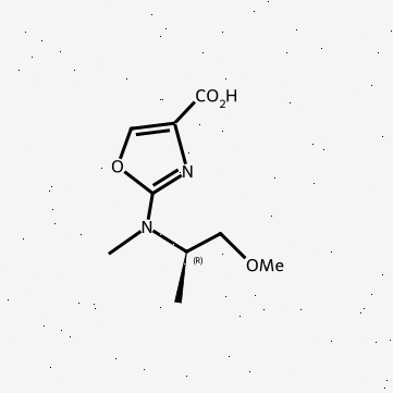 COC[C@@H](C)N(C)c1nc(C(=O)O)co1